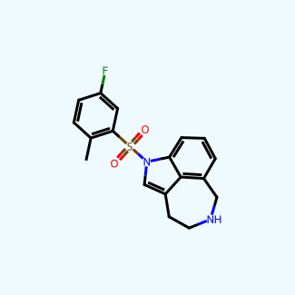 Cc1ccc(F)cc1S(=O)(=O)n1cc2c3c(cccc31)CNCC2